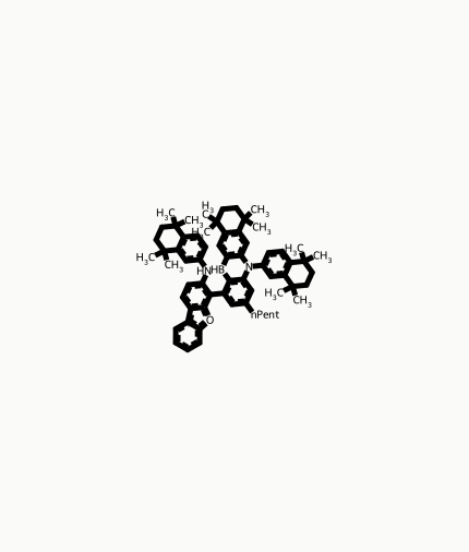 CCCCCc1cc(-c2c(Nc3ccc4c(c3)C(C)(C)CCC4(C)C)ccc3c2oc2ccccc23)c2c(c1)N(c1ccc3c(c1)C(C)(C)CCC3(C)C)c1cc3c(cc1B2)C(C)(C)CCC3(C)C